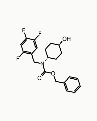 O=C(OCc1ccccc1)N(Cc1cc(F)c(F)cc1F)[C@H]1CC[C@H](O)CC1